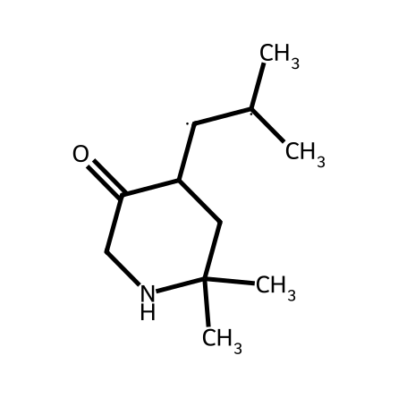 C[C](C)[CH]C1CC(C)(C)NCC1=O